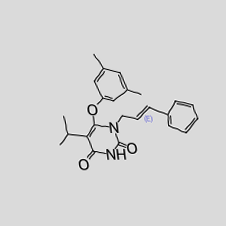 Cc1cc(C)cc(Oc2c(C(C)C)c(=O)[nH]c(=O)n2C/C=C/c2ccccc2)c1